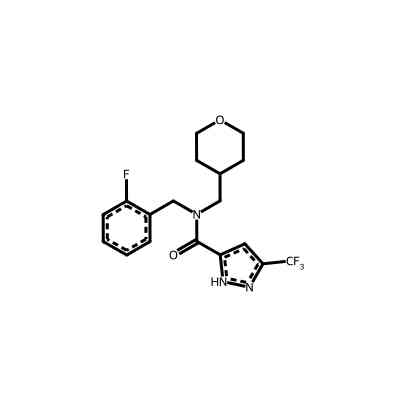 O=C(c1cc(C(F)(F)F)n[nH]1)N(Cc1ccccc1F)CC1CCOCC1